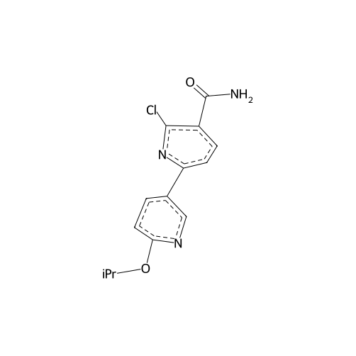 CC(C)Oc1ccc(-c2ccc(C(N)=O)c(Cl)n2)cn1